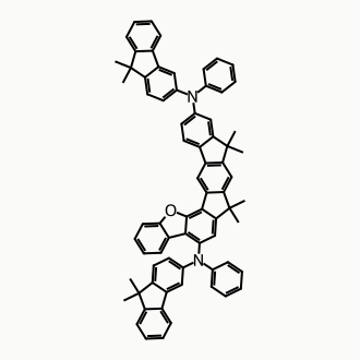 CC1(C)c2ccccc2-c2cc(N(c3ccccc3)c3ccc4c(c3)C(C)(C)c3cc5c(cc3-4)-c3c(cc(N(c4ccccc4)c4ccc6c(c4)-c4ccccc4C6(C)C)c4c3oc3ccccc34)C5(C)C)ccc21